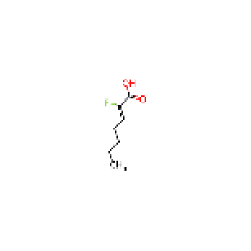 CCCCC=C(F)C(=O)O